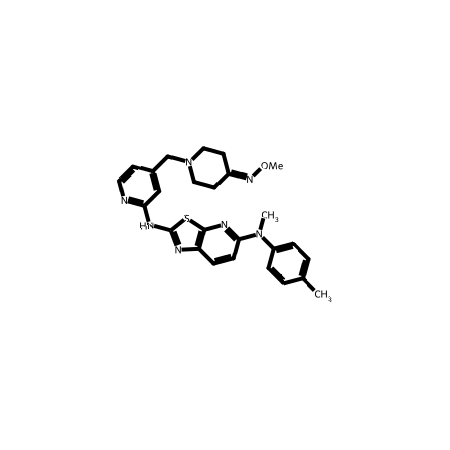 CON=C1CCN(Cc2ccnc(Nc3nc4ccc(N(C)c5ccc(C)cc5)nc4s3)c2)CC1